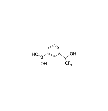 OB(O)c1cccc(C(O)C(F)(F)F)c1